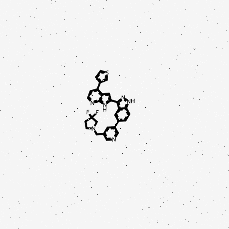 FC1(F)CCN(Cc2cncc(-c3ccc4[nH]nc(-c5cc6c(-c7ccsc7)ccnc6[nH]5)c4c3)c2)C1